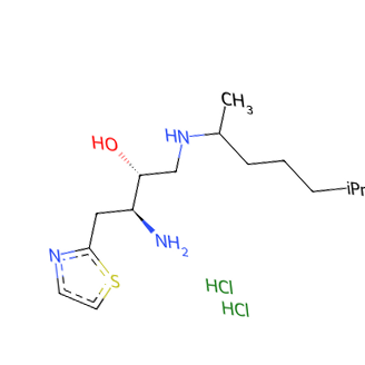 CC(C)CCCC(C)NC[C@@H](O)[C@@H](N)Cc1nccs1.Cl.Cl